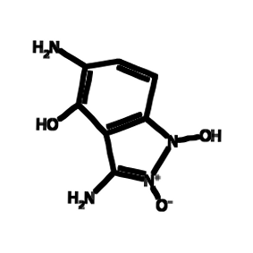 Nc1ccc2c(c1O)c(N)[n+]([O-])n2O